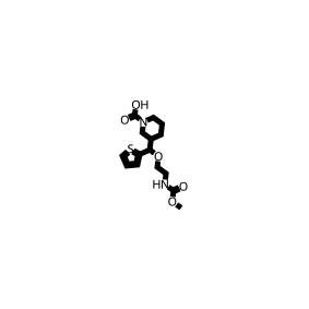 COC(=O)NCCOC(c1cccs1)C1CCCN(C(=O)O)C1